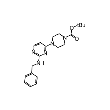 CC(C)(C)OC(=O)N1CCN(c2ccnc(NCc3ccccc3)n2)CC1